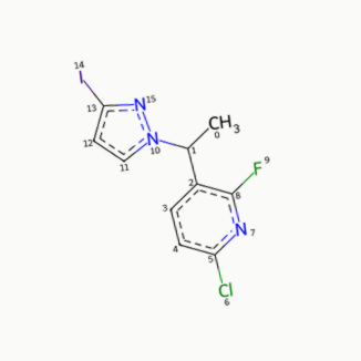 CC(c1ccc(Cl)nc1F)n1ccc(I)n1